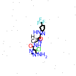 CC(NC(=O)c1ncnc(N)c1Cl)c1cc(-c2nc3ccc(C(F)(F)F)cc3[nH]2)on1